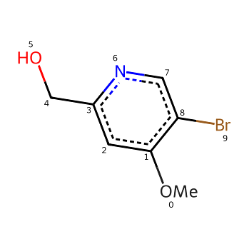 COc1cc(CO)ncc1Br